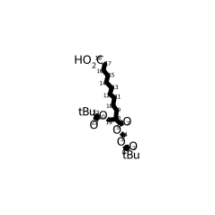 CC(C)(C)C(=O)OCOC(=O)C(CCCCCCCCCC(=O)O)COC(=O)C(C)(C)C